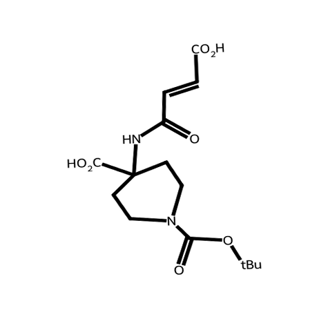 CC(C)(C)OC(=O)N1CCC(NC(=O)C=CC(=O)O)(C(=O)O)CC1